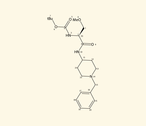 COC[C@H](NC(=O)OC(C)(C)C)C(=O)NC1CCN(Cc2ccccc2)CC1